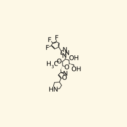 CO[C@@H]1[C@@H](n2cc(-c3cc(F)c(F)c(F)c3)nn2)[C@@H](O)[C@@H](CO)O[C@@H]1Cc1cc(C2CCNCC2)on1